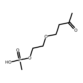 CC(=O)CCOCCOP(C)(=O)O